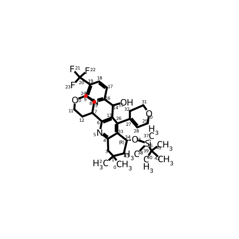 CC1(C)Cc2nc(C3CCOCC3)c(C(O)c3ccc(C(F)(F)F)cn3)c(C3=CCOCC3)c2[C@H](O[Si](C)(C)C(C)(C)C)C1